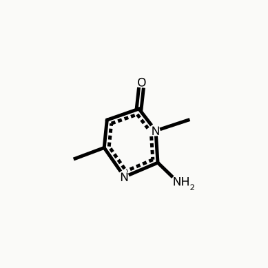 Cc1cc(=O)n(C)c(N)n1